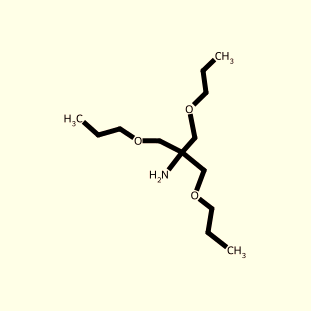 CCCOCC(N)(COCCC)COCCC